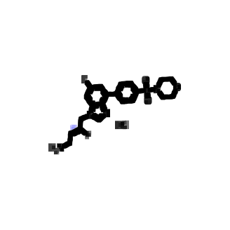 Cl.NC/C=C(\F)Cn1cnc2c(-c3ccc(S(=O)(=O)N4CCOCC4)cc3)cc(F)cc21